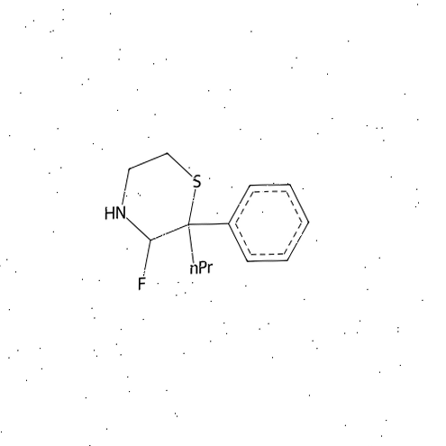 CCCC1(c2ccccc2)SCCNC1F